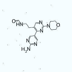 Nc1ncc(-c2nc(N3CCOCC3)ncc2CCNC=O)cn1